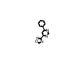 c1ccc(-c2cc(-c3ncon3)ncn2)cc1